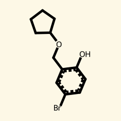 Oc1ccc(Br)cc1COC1CCCC1